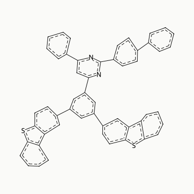 c1ccc(-c2ccc(-c3nc(-c4ccccc4)cc(-c4cc(-c5ccc6sc7ccccc7c6c5)cc(-c5ccc6sc7ccccc7c6c5)c4)n3)cc2)cc1